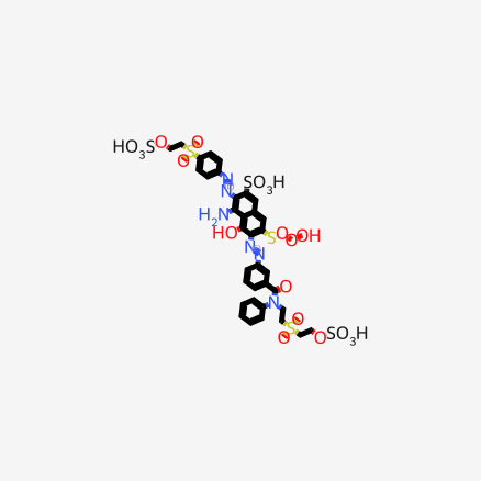 Nc1c(/N=N/c2ccc(S(=O)(=O)CCOS(=O)(=O)O)cc2)c(S(=O)(=O)O)cc2cc(SOOO)c(/N=N/c3cccc(C(=O)N(CCS(=O)(=O)CCOS(=O)(=O)O)c4ccccc4)c3)c(O)c12